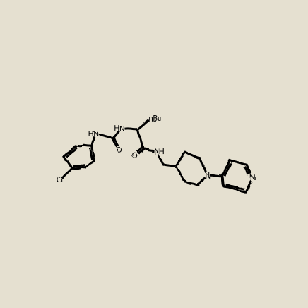 CCCCC(NC(=O)Nc1ccc(Cl)cc1)C(=O)NCC1CCN(c2ccncc2)CC1